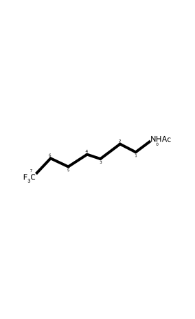 CC(=O)NCCCCCCC(F)(F)F